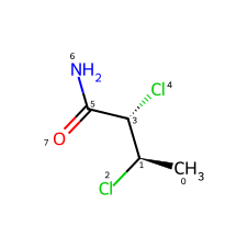 C[C@@H](Cl)[C@@H](Cl)C(N)=O